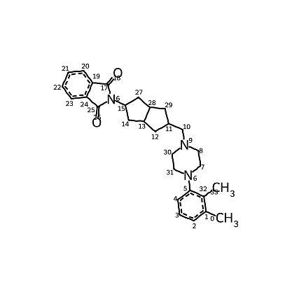 Cc1cccc(N2CCN(CC3CC4CC(N5C(=O)c6ccccc6C5=O)CC4C3)CC2)c1C